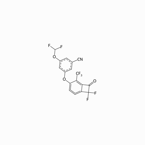 N#Cc1cc(OC2=C=C=C3C(=C2C(F)(F)F)C(=O)C3(F)F)cc(OC(F)F)c1